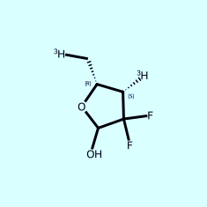 [3H]C[C@H]1OC(O)C(F)(F)[C@H]1[3H]